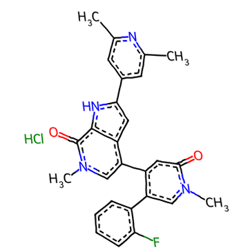 Cc1cc(-c2cc3c(-c4cc(=O)n(C)cc4-c4ccccc4F)cn(C)c(=O)c3[nH]2)cc(C)n1.Cl